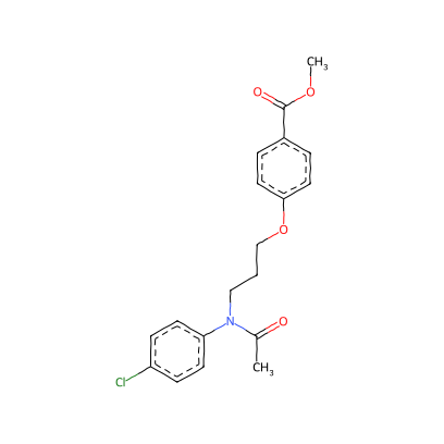 COC(=O)c1ccc(OCCCN(C(C)=O)c2ccc(Cl)cc2)cc1